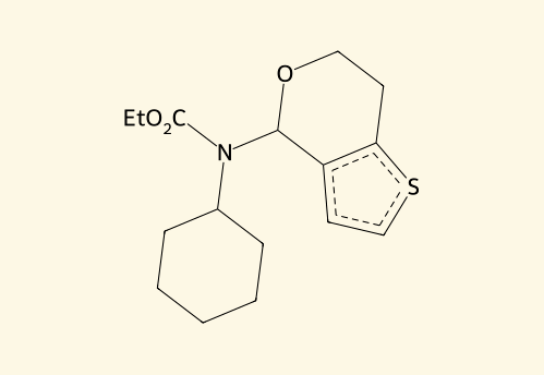 CCOC(=O)N(C1CCCCC1)C1OCCc2sccc21